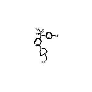 CCN1CCN(c2cc(N(c3ccc(Cl)cc3)S(C)(=O)=O)ccn2)CC1